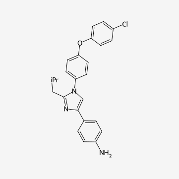 CC(C)Cc1nc(-c2ccc(N)cc2)cn1-c1ccc(Oc2ccc(Cl)cc2)cc1